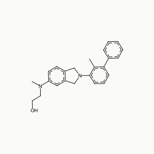 Cc1c(-c2ccccc2)cccc1N1Cc2ccc(N(C)CCO)cc2C1